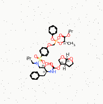 CC(C)CN(C[C@@H](O)[C@H](Cc1ccccc1)NC(=O)O[C@H]1CO[C@H]2OCC[C@H]21)S(=O)(=O)c1ccc(OCP(=O)(Oc2ccccc2)O[C@@H](C)C(=O)OC(C)C)cc1